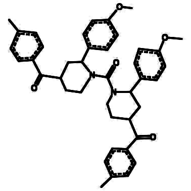 COc1ccc(C2CC(C(=O)c3ccc(C)cc3)CCN2C(=O)N2CCC(C(=O)c3ccc(C)cc3)CC2c2ccc(OC)cc2)cc1